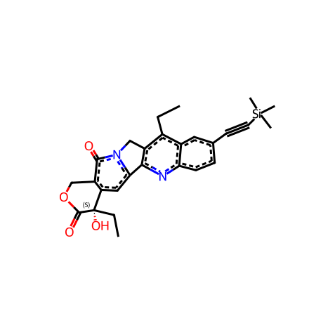 CCc1c2c(nc3ccc(C#C[Si](C)(C)C)cc13)-c1cc3c(c(=O)n1C2)COC(=O)[C@]3(O)CC